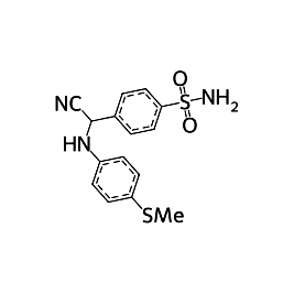 CSc1ccc(NC(C#N)c2ccc(S(N)(=O)=O)cc2)cc1